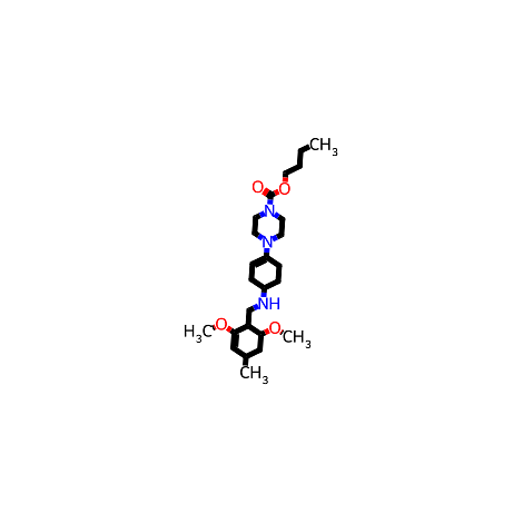 CCCCOC(=O)N1CCN(C2=CCC(NCC3C(OC)=CC(C)CC3OC)CC2)CC1